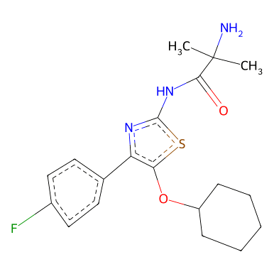 CC(C)(N)C(=O)Nc1nc(-c2ccc(F)cc2)c(OC2CCCCC2)s1